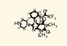 Cn1c(=O)c2c(nc(N3CCNCC3)n2-c2ccccc2NC(=O)C(F)(F)F)n(C)c1=O